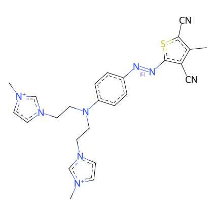 Cc1c(C#N)sc(/N=N/c2ccc(N(CCn3cc[n+](C)c3)CCn3cc[n+](C)c3)cc2)c1C#N